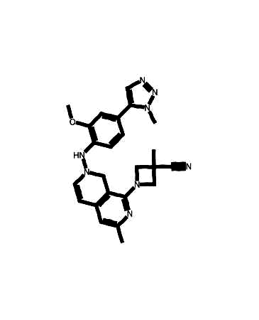 COc1cc(-c2cnnn2C)ccc1NN1C=Cc2cc(C)nc(N3CC(C)(C#N)C3)c2C1